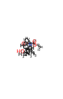 C[C@@H]1CC2C(C(C)(O)C(C)(C)C)CC13[C@H]1Cc4cccc5c4[C@@]3(CCN1C(=O)OCC1=CC1)[C@H]2O5